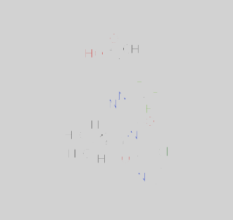 CC1(C(=O)O)CCC(n2ncc(C(=O)N(CC(=O)c3ncccc3Cl)[C@H]3C[C@@H]4[C@H](C3)C4(C)C)c2C(F)(F)F)CC1